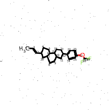 C/C=C/C1CCC2C(CCC3CC(c4ccc(OC(F)F)cc4)CCC32)C1